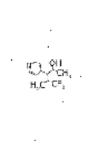 C=C(C(c1ccncc1)C(C)O)C(F)(F)F